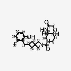 O=C1CO[C@H]2CCN(C(=O)N3CC4(CC(Cc5c(O)cccc5F)C4)C3)C[C@H]2N1